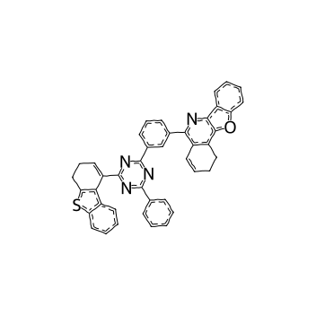 C1=Cc2c(-c3cccc(-c4nc(C5=CCCc6sc7ccccc7c65)nc(-c5ccccc5)n4)c3)nc3c(oc4ccccc43)c2CC1